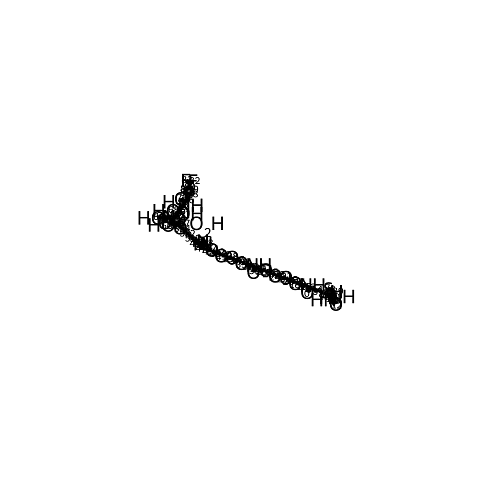 O=C(CCCC[C@H]1SC[C@H]2NC(=O)N[C@H]21)NCCOCCOCCOCCOCCC(=O)NCCOCCOCCOCCOCc1cn(CCCCCCO[C@]2(C(=O)O)C[C@H](O)[C@@H](NC(=O)CO)[C@H]([C@H](O)[C@H](O)CNC(=O)Cc3ccc(C(F)F)cc3)O2)nn1